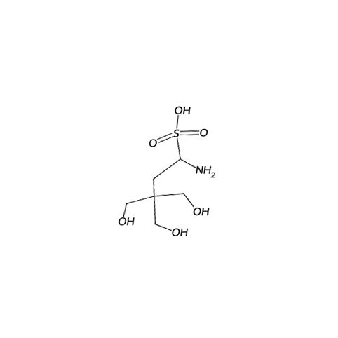 NC(CC(CO)(CO)CO)S(=O)(=O)O